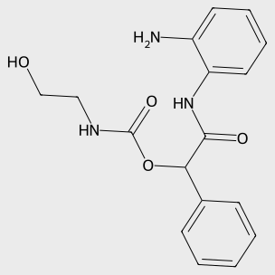 Nc1ccccc1NC(=O)C(OC(=O)NCCO)c1ccccc1